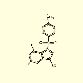 CCc1cn(S(=O)(=O)c2ccc(C)cc2)c2c(F)cc(F)cc12